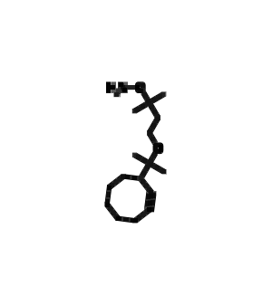 CC(C)(CCOC(C)(C)C1C#CCCCCC1)ON